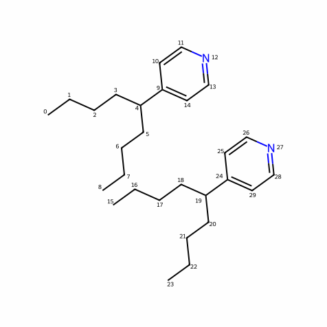 CCCCC(CCCC)c1ccncc1.CCCCC(CCCC)c1ccncc1